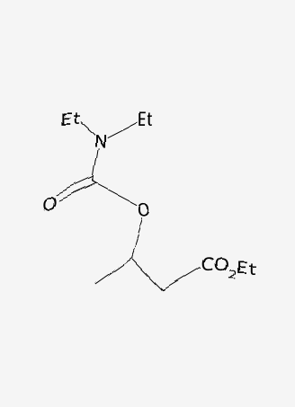 CCOC(=O)CC(C)OC(=O)N(CC)CC